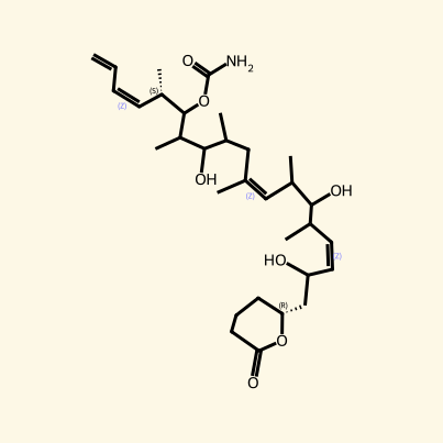 C=C/C=C\[C@H](C)C(OC(N)=O)C(C)C(O)C(C)C/C(C)=C\C(C)C(O)C(C)/C=C\C(O)C[C@H]1CCCC(=O)O1